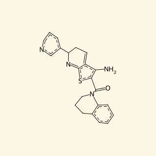 Nc1c(C(=O)N2CCCc3ccccc32)sc2c1=CCC(c1cccnc1)N=2